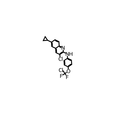 FC(F)(Cl)Oc1ccc(Nc2nc3ccc(C4CC4)cc3cc2Cl)cc1